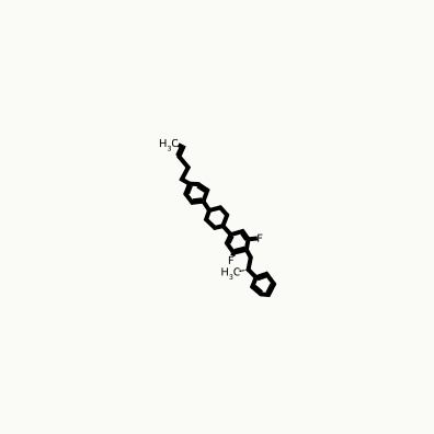 C/C=C/CCc1ccc(C2CCC(c3cc(F)c(C[C@@H](C)c4ccccc4)c(F)c3)CC2)cc1